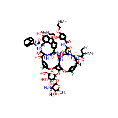 CNCCOc1ccc(C(=O)NC(=O)C[C@@H]2NC(=O)[C@H](NC(=O)[C@@H](CC(C)C)NC)[C@H](O)c3ccc(c(Cl)c3)Oc3cc4cc(c3O[C@@H]3O[C@H](CO)[C@@H](O)[C@H](O)[C@H]3O[C@H]3C[C@](C)(N)[C@H](O)[C@H](C)O3)Oc3ccc(cc3Cl)[C@@H](O)[C@@H]3NC(=O)[C@H](NC(=O)[C@@H]4NC2=O)c2ccc4c(c2)-c2c(cc(O)cc2C4(O)O)[C@@H](C(=O)NC2C4CC5CC(C4)CC2C5)NC3=O)cc1OCCNC